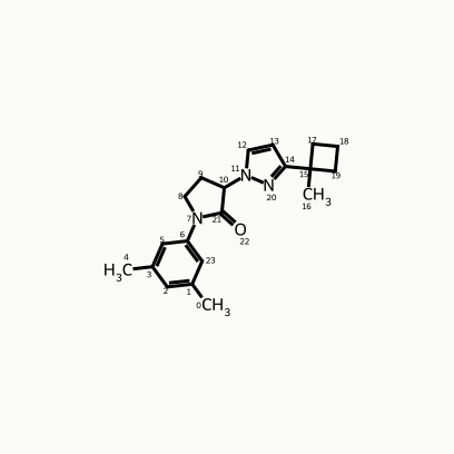 Cc1cc(C)cc(N2CCC(n3ccc(C4(C)CCC4)n3)C2=O)c1